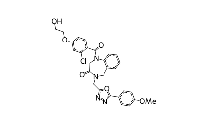 COc1ccc(-c2nnc(CN3Cc4ccccc4N(C(=O)c4ccc(OCCO)cc4Cl)CC3=O)o2)cc1